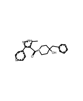 Cc1[nH]nc(-c2ccncc2)c1C(=O)N1CCC(O)(Cc2ccccc2)CC1